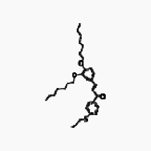 CCCCCCCOc1ccc(C=CC(=O)c2ccc(SCCC)cc2)cc1OCCCCCCC